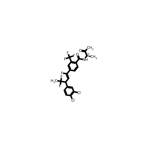 CC(=O)[C@@H](C)NC(=O)c1ccc(/C(F)=C/C(c2ccc(Cl)c(Cl)c2)C(C)(F)F)cc1C(F)(F)F